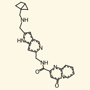 O=C(NCc1cc2[nH]c(CNCC34CCC3C4)cc2cn1)c1cc(=O)n2ccccc2n1